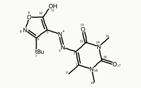 Cc1c(N=Nc2c(C(C)(C)C)noc2O)c(=O)n(C)c(=O)n1C